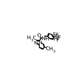 Cc1ccc2nc(C)c(C(=O)NCc3ccc(S(F)(F)(F)(F)F)cc3)n2c1